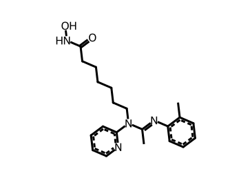 C/C(=N\c1ccccc1C)N(CCCCCCC(=O)NO)c1ccccn1